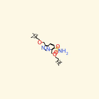 C[Si](C)(C)CCOCc1ncn2c(COCC[Si](C)(C)C)c(S(N)(=O)=O)ccc12